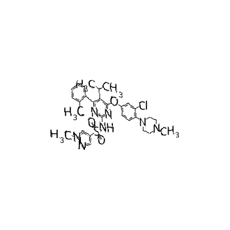 Cc1ccccc1-c1nc(NS(=O)(=O)c2cnn(C)c2)nc(Oc2ccc(N3CCN(C)CC3)c(Cl)c2)c1C(C)C